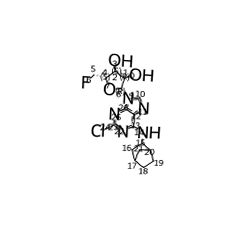 O[C@@H]1[C@H](O)[C@@H](CF)O[C@H]1n1cnc2c(NC3CC4CCC3C4)nc(Cl)nc21